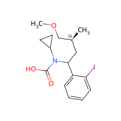 COC[C@@H](C)CC(c1ccccc1I)N(C(=O)O)C1CC1